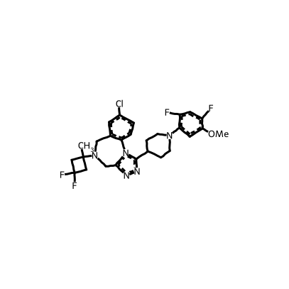 COc1cc(N2CCC(c3nnc4n3-c3ccc(Cl)cc3CN(C3(C)CC(F)(F)C3)C4)CC2)c(F)cc1F